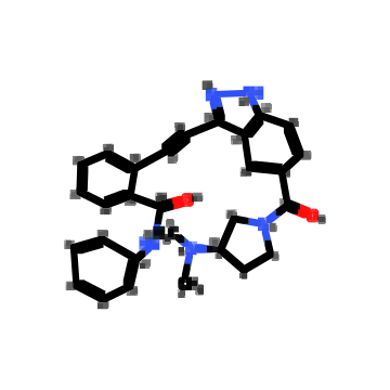 CN(C)[C@@H]1CCN(C(=O)c2ccc3[nH]nc(C#Cc4ccccc4C(=O)Nc4ccccc4)c3c2)C1